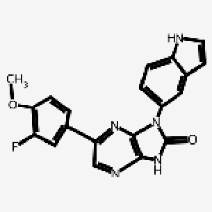 COc1ccc(-c2cnc3[nH]c(=O)n(-c4ccc5[nH]ccc5c4)c3n2)cc1F